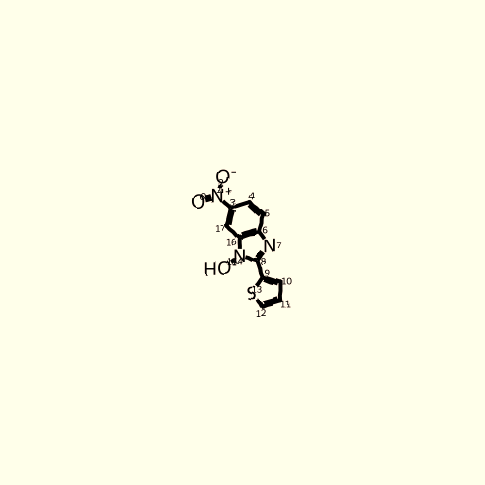 O=[N+]([O-])c1ccc2nc(-c3cccs3)n(O)c2c1